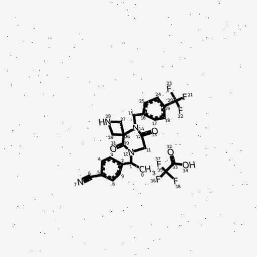 CC(c1ccc(C#N)cc1)N1CC(=O)N(Cc2ccc(C(F)(F)F)cc2)C2(CNC2)C1=O.O=C(O)C(F)(F)F